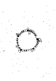 O=C1CCCCCNC(=O)CCCCCNC(=O)CCCCCNC(=O)CCCCCNC(=O)CCCCCN1